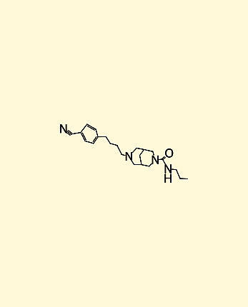 CCCNC(=O)N1CC2CC(CN(CCCCc3ccc(C#N)cc3)C2)C1